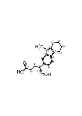 Cn1c2c(c3ccc(/C(CCC(=O)O)=N\O)cc31)CCCC2